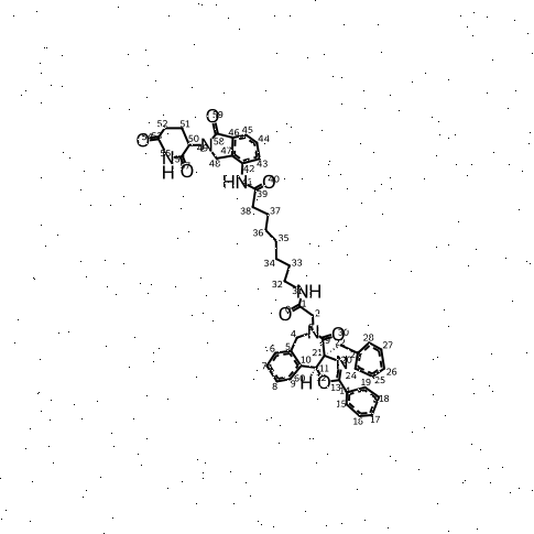 O=C(CN1Cc2ccccc2[C@@H]2OC(c3ccccc3)=N[C@]2(Cc2ccccc2)C1=O)NCCCCCCCC(=O)Nc1cccc2c1CN(C1CCC(=O)NC1=O)C2=O